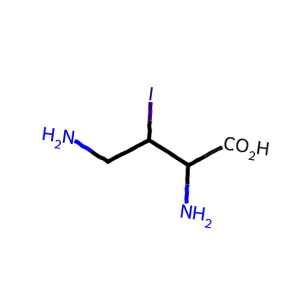 NCC(I)C(N)C(=O)O